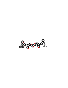 CC(C)(C)c1cc(-c2cc3c(c4ccccc24)-c2cc4c(cc2C3(C)C)-c2cc3c(cc2C4(C)C)-c2c(cc(-c4cc(C(C)(C)C)c5oc6ccccc6c5c4)c4ccccc24)C3(C)C)cc2c1oc1ccccc12